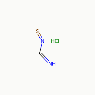 Cl.N=CN=S